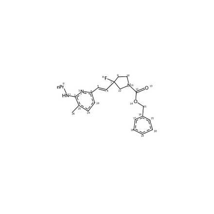 CCCNc1nc(/C=C/C2(F)CCN(C(=O)OCc3ccccc3)C2)ccc1C